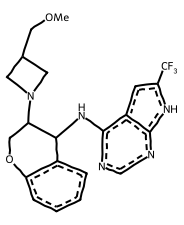 COCC1CN(C2COc3ccccc3C2Nc2ncnc3[nH]c(C(F)(F)F)cc23)C1